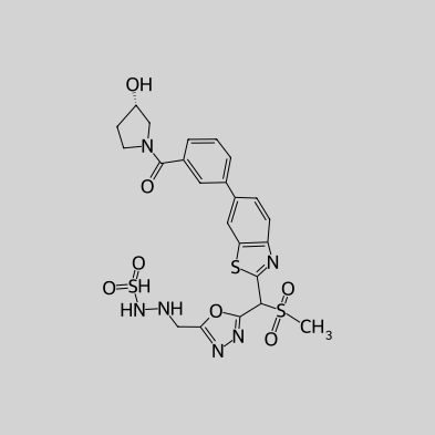 CS(=O)(=O)C(c1nnc(CNN[SH](=O)=O)o1)c1nc2ccc(-c3cccc(C(=O)N4CC[C@H](O)C4)c3)cc2s1